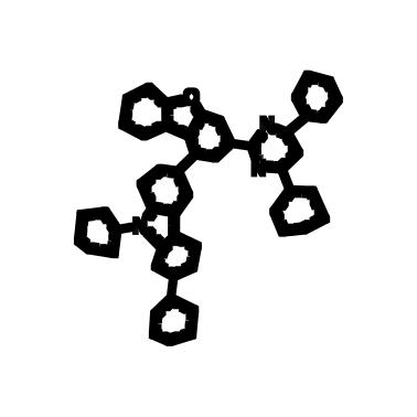 c1ccc(-c2ccc3c4cc(-c5cc(-c6nc(-c7ccccc7)cc(-c7ccccc7)n6)cc6oc7ccccc7c56)ccc4n(-c4ccccc4)c3c2)cc1